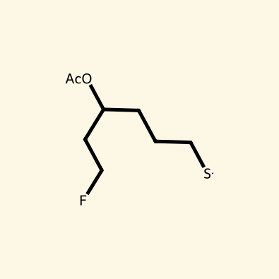 CC(=O)OC(CCF)CCC[S]